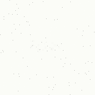 CNC(=O)N(C)c1ccc(C(=O)O)cc1